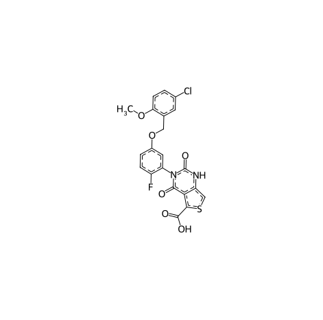 COc1ccc(Cl)cc1COc1ccc(F)c(-n2c(=O)[nH]c3csc(C(=O)O)c3c2=O)c1